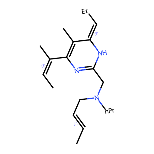 C/C=C(/C)C1=C(C)/C(=C\CC)NC(CN(C/C=C/C)CCC)=N1